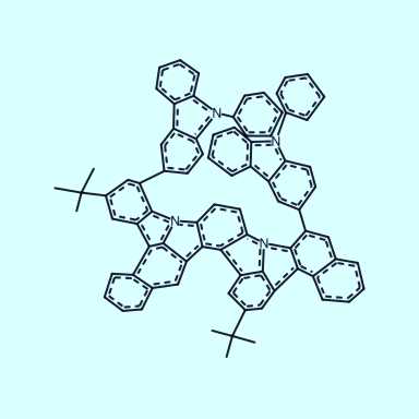 CC(C)(C)c1cc(-c2ccc3c(c2)c2ccccc2n3-c2ccccc2)c2c(c1)c1c3ccccc3cc3c4c5c6cc(C(C)(C)C)cc7c8c9ccccc9cc(-c9ccc%10c(c9)c9ccccc9n%10-c9ccccc9)c8n(c5ccc4n2c31)c67